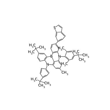 Cc1cc2c3c(c1)N(c1c(C)cc(C(C)(C)C)cc1C)c1cc(-c4ccc5ccsc5c4)ccc1B3c1cc(C(C)(C)C)ccc1N2c1ccc(C(C)(C)C)cc1